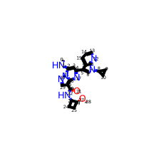 CNc1cc(-c2cn(C3CC3)c3ncccc23)nc2c(C(=O)NC3CC[C@@H]3OC)cnn12